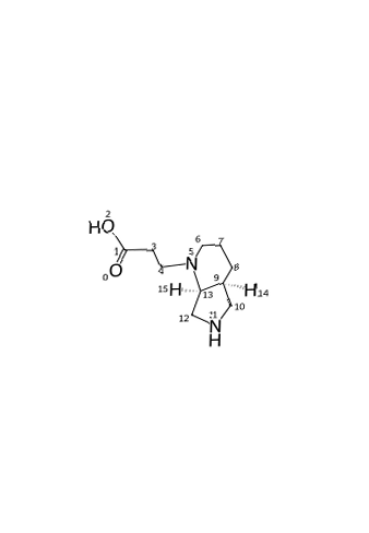 O=C(O)CCN1CCC[C@H]2CNC[C@H]21